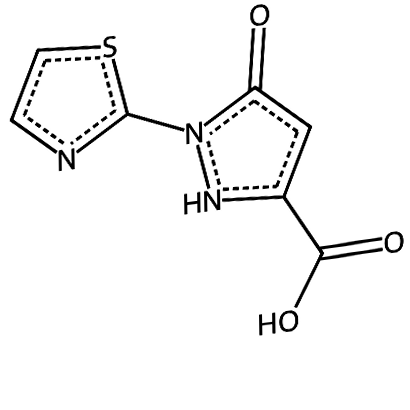 O=C(O)c1cc(=O)n(-c2nccs2)[nH]1